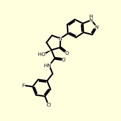 O=C(NCc1cc(F)cc(Cl)c1)[C@]1(O)CCN(c2ccc3[nH]ncc3c2)C1=O